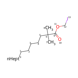 CCCCCCCCCCCCC(C)(C)C(=O)OCI